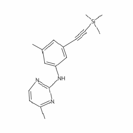 Cc1cc(C#C[Si](C)(C)C)cc(Nc2nccc(C)n2)c1